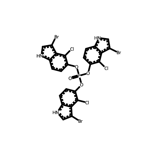 O=P(Oc1ccc2[nH]cc(Br)c2c1Cl)(Oc1ccc2[nH]cc(Br)c2c1Cl)Oc1ccc2[nH]cc(Br)c2c1Cl